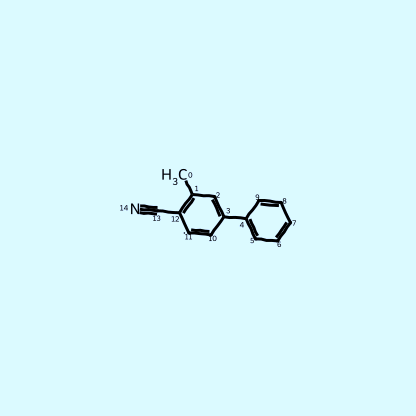 Cc1cc(-c2ccccc2)c[c]c1C#N